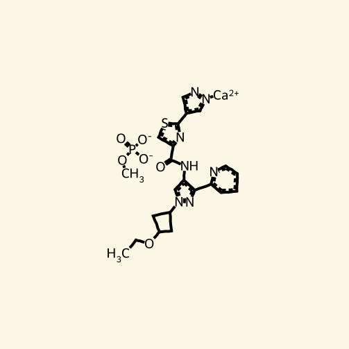 CCOC1CC(n2cc(NC(=O)c3csc(-c4cn[n]([Ca+2])c4)n3)c(-c3ccccn3)n2)C1.COP(=O)([O-])[O-]